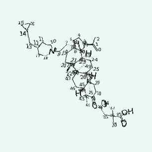 C=C(C)[C@@H]1CC[C@]2(CCN3CCC(CC4CC4)CC3)CC[C@]3(C)[C@H](CC[C@@H]4[C@@]5(C)CC[C@H](OC(=O)CC(C)(C)C(=O)O)C(C)(C)[C@@H]5CC[C@]43C)[C@@H]12